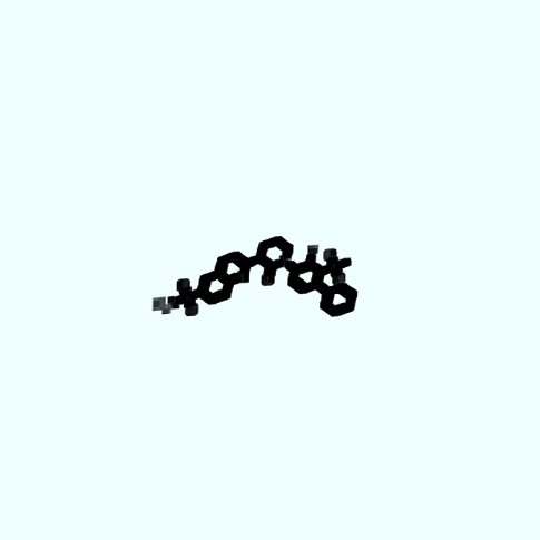 CS(=O)(=O)c1c(-c2ccccc2)ccc(N2CCCC(c3ccc4cc(S(N)(=O)=O)ccc4n3)C2=O)c1F